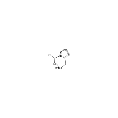 CCCCCCCc1nccn1C(N)CC